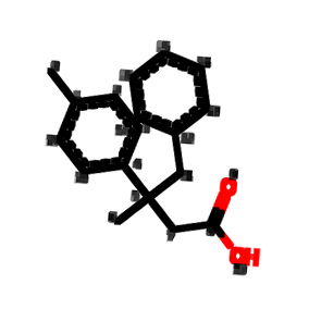 Cc1ccc(C(C)(CC(=O)O)Cc2ccccc2)cc1